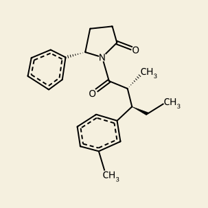 CC[C@@H](c1cccc(C)c1)[C@@H](C)C(=O)N1C(=O)CC[C@H]1c1ccccc1